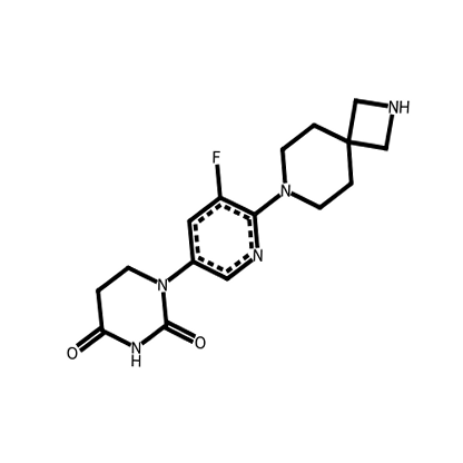 O=C1CCN(c2cnc(N3CCC4(CC3)CNC4)c(F)c2)C(=O)N1